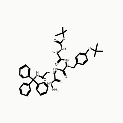 C[C@H](NC(=O)OC(C)(C)C)C(=O)N[C@@H](Cc1ccc(OC(C)(C)C)cc1)C(=O)N[C@@H](CC(=O)NC(c1ccccc1)(c1ccccc1)c1ccccc1)C(=O)NN